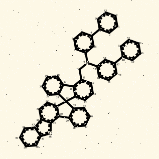 c1ccc(-c2cccc(N(Cc3cccc4c3-c3ccccc3C43c4ccccc4-c4c3ccc3c4oc4ccccc43)c3cccc(-c4ccccc4)c3)c2)cc1